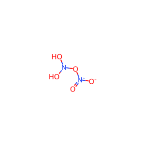 O=[N+]([O-])ON(O)O